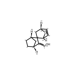 O/N=C1/[C@@H]2CC[C@@H](C2)C12C[C@@H]1C=C[C@H]2O1